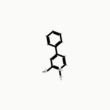 CCCc1cc(-c2ccccc2)cc[n+]1[O-]